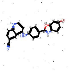 N#Cc1ccc2nccc(Nc3ccc(-c4nc5ccc(Br)cc5o4)cc3)c2c1